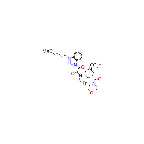 COCCCCNc1ccccc1NC(=O)C(=O)N(CC(C)C)[C@H]1C[C@@H](C(=O)N2CCOCC2)CN(C(=O)O)C1